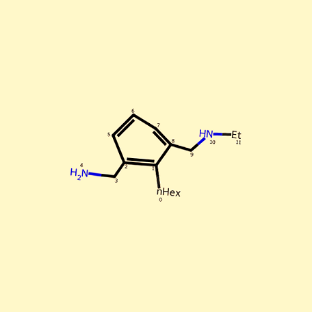 CCCCCCc1c(CN)cccc1CNCC